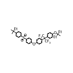 CCC(C)(CC)Oc1ccc(C(c2ccc(Oc3ccc(S(=O)(=O)c4ccc(C(C)(C)CC)cc4)cc3)cc2)(C(F)(F)F)C(F)(F)F)cc1